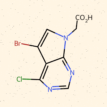 O=C(O)Cn1cc(Br)c2c(Cl)ncnc21